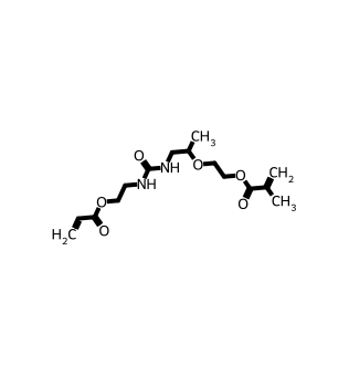 C=CC(=O)OCCNC(=O)NCC(C)OCCOC(=O)C(=C)C